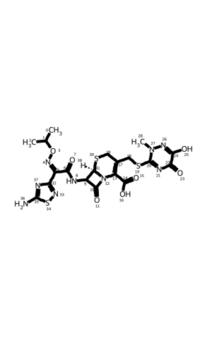 CC(C)O/N=C(\C(=O)NC1C(=O)N2C(C(=O)O)=C(CSc3nc(=O)c(O)nn3C)CS[C@H]12)c1nsc(N)n1